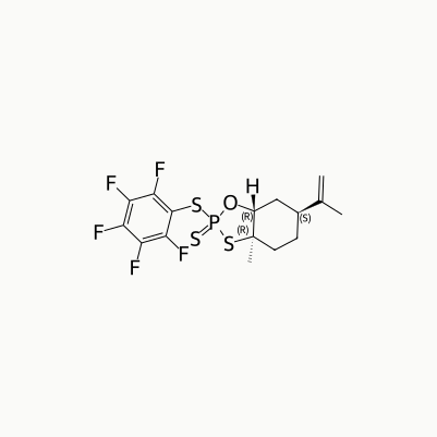 C=C(C)[C@H]1CC[C@@]2(C)SP(=S)(Sc3c(F)c(F)c(F)c(F)c3F)O[C@@H]2C1